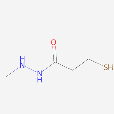 CNNC(=O)CCS